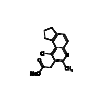 COC(=O)Cc1c(C)nc2ccc3c(c2c1Cl)CCC3